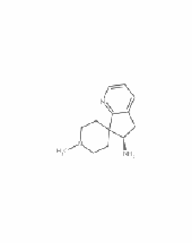 CN1CCC2(CC1)c1ncccc1C[C@H]2N